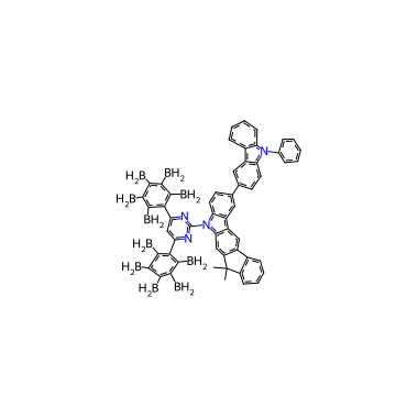 Bc1c(B)c(B)c(-c2cc(-c3c(B)c(B)c(B)c(B)c3B)nc(-n3c4ccc(-c5ccc6c(c5)c5ccccc5n6-c5ccccc5)cc4c4cc5c(cc43)C(C)(C)c3ccccc3-5)n2)c(B)c1B